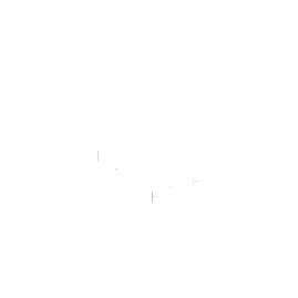 Fc1ccc(C(F)(F)F)c(C(F)(F)F)c1